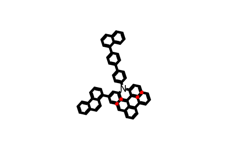 c1ccc(-c2cccc3cccc(-c4ccccc4N(c4ccc(-c5ccc(-c6cccc7ccccc67)cc5)cc4)c4cccc(-c5cccc6c5ccc5ccccc56)c4)c23)cc1